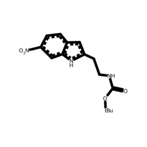 CC(C)(C)OC(=O)NCCc1cc2ccc([N+](=O)[O-])cc2[nH]1